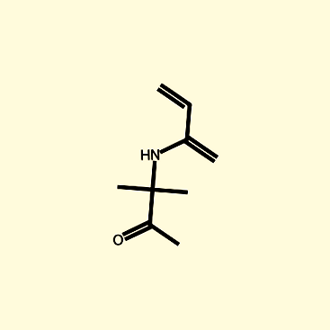 C=CC(=C)NC(C)(C)C(C)=O